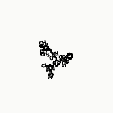 COc1ccc(CCNC(=O)CC2CN(c3cc(Cl)nc(-n4ccnc4)n3)CCN2C(=O)NS(=O)(=O)c2ccccc2)cc1OC